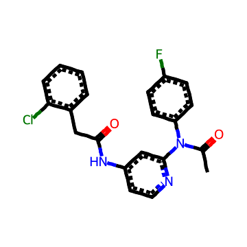 CC(=O)N(c1ccc(F)cc1)c1cc(NC(=O)Cc2ccccc2Cl)ccn1